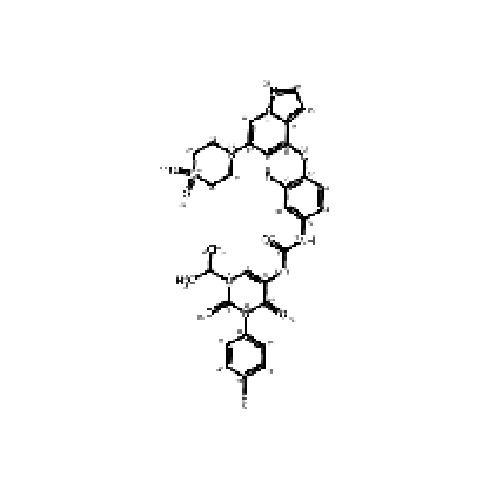 CC(C)n1cc(OC(=O)Nc2ccc(Oc3cc(N4CCS(=O)(=O)CC4)cn4nccc34)c(F)c2)c(=O)n(-c2ccc(F)cc2)c1=O